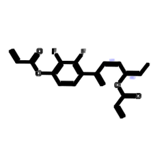 C=CC(=O)OC(/C=C\C(=C)c1ccc(OC(=O)C=C)c(F)c1F)=C/C